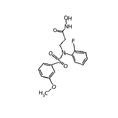 COc1cccc(S(=O)(=O)N(CCC(=O)NO)c2ccccc2F)c1